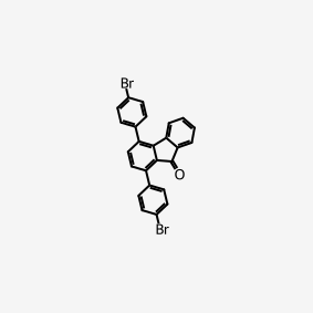 O=C1c2ccccc2-c2c(-c3ccc(Br)cc3)ccc(-c3ccc(Br)cc3)c21